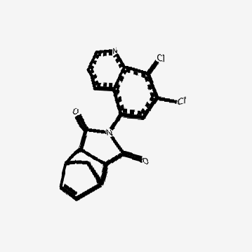 O=C1C2C3C=CC(C3)C2C(=O)N1c1cc(Cl)c(Cl)c2ncccc12